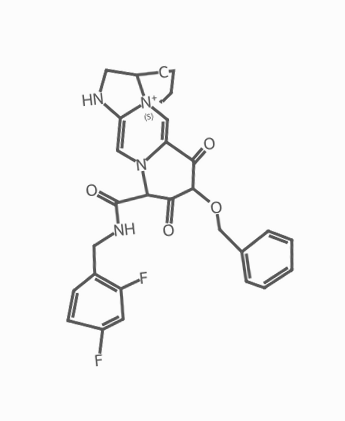 O=C1C2=C[N@+]34CCCCC3CNC4=CN2C(C(=O)NCc2ccc(F)cc2F)C(=O)C1OCc1ccccc1